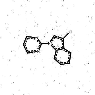 Clc1cn(-c2ncccn2)c2ccccc12